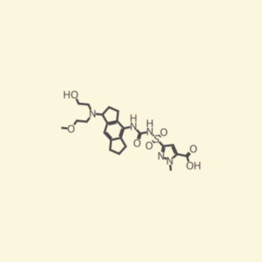 COCCN(CCO)C1CCc2c1cc1c(c2NC(=O)NS(=O)(=O)c2cc(C(=O)O)n(C)n2)CCC1